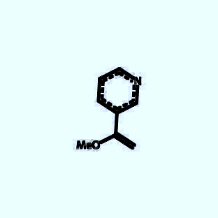 C=C(OC)c1cccnc1